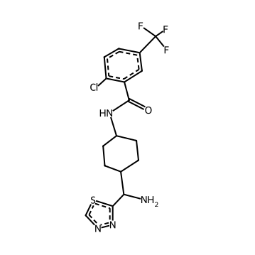 NC(c1nncs1)C1CCC(NC(=O)c2cc(C(F)(F)F)ccc2Cl)CC1